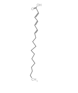 CCCCCCCCCCCC=CC=C/C=C/C(=O)O